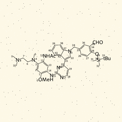 COc1cc(N(C)CCN(C)C)c(NC(C)=O)cc1Nc1nccc(-c2cn(Cc3ccc(O[Si](C)(C)C(C)(C)C)c(C=O)c3)c3ccccc23)n1